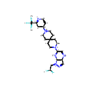 FC(F)Cn1ncc2ncc(N3CCC4(CCN(c5ccnc(C(F)(F)F)c5)CC4)CC3)nc21